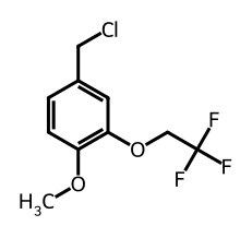 COc1ccc(CCl)cc1OCC(F)(F)F